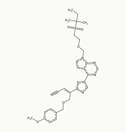 CCC(C)(C)S(=O)(=O)CCOCn1ccc2c(-c3cnc(C(=CC#N)COCc4ccc(OC)cc4)s3)ncnc21